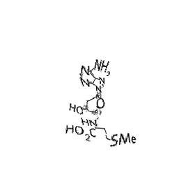 CSCCC(NC[C@H]1O[C@@H](n2cnc3c(N)ncnc32)C[C@@H]1O)C(=O)O